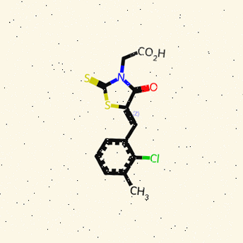 Cc1cccc(/C=C2\SC(=S)N(CC(=O)O)C2=O)c1Cl